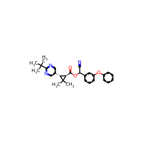 CC(C)(C)c1ncc([C@@H]2[C@@H](C(=O)OC(C#N)c3cccc(Oc4ccccc4)c3)C2(C)C)cn1